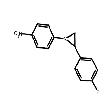 O=[N+]([O-])c1ccc(N2CC2c2ccc(F)cc2)cc1